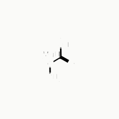 BOC(=O)O.[MgH2]